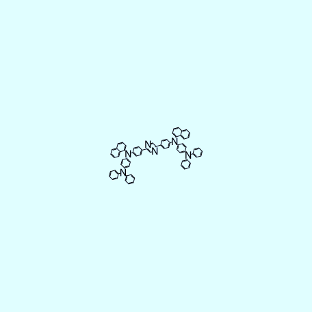 c1ccc(N(c2ccccc2)c2ccc(N(c3ccc(-c4cnc(-c5ccc(N(c6ccc(N(c7ccccc7)c7ccccc7)cc6)c6cccc7ccccc67)cc5)cn4)cc3)c3cccc4ccccc34)cc2)cc1